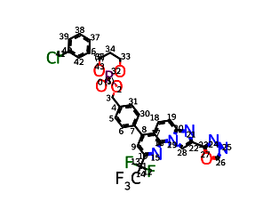 O=[P@@]1(OCc2ccc(-c3cc(C(F)(F)C(F)(F)F)nc4c3ccc3nc(-c5nnco5)cn34)cc2)OCC[C@@H](c2cccc(Cl)c2)O1